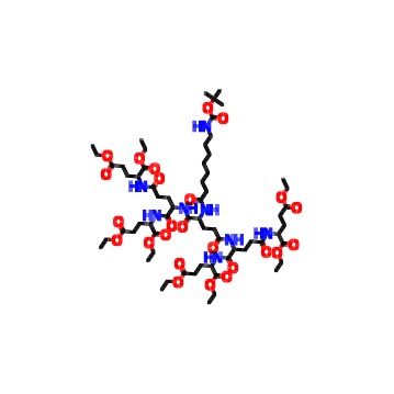 CCOC(=O)CCC(NC(=O)CCC(NC(=O)CCC(NC(=O)CCCCCCCNC(=O)OC(C)(C)C)C(=O)NC(CCC(=O)NC(CCC(=O)OCC)C(=O)OCC)C(=O)NC(CCC(=O)OCC)C(=O)OCC)C(=O)NC(CCC(=O)OCC)C(=O)OCC)C(=O)OCC